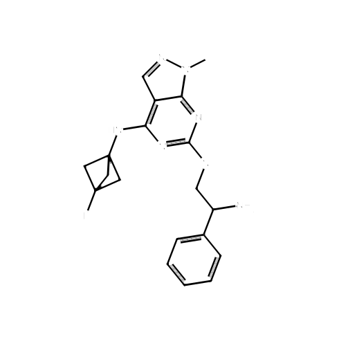 Cn1ncc2c(NC34CC(F)(C3)C4)nc(NCC(N)c3ccccc3)nc21